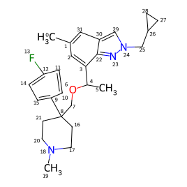 Cc1cc(C(C)OCC2(c3ccc(F)cc3)CCN(C)CC2)c2nn(CC3CC3)cc2c1